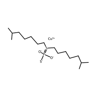 CC(C)CCCCCS(CCCCCC(C)C)=P([O-])([O-])[S-].[Cu+3]